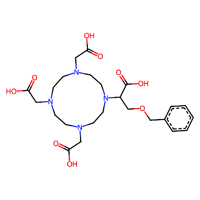 O=C(O)CN1CCN(CC(=O)O)CCN(C(COCc2ccccc2)C(=O)O)CCN(CC(=O)O)CC1